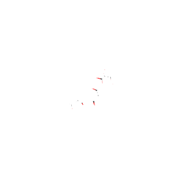 O=C(CC(=O)OC(=O)C(O)C(O)C(=O)O)OC(=O)C(O)C(O)C(=O)O